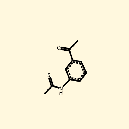 CC(=O)c1cccc(NC(C)=S)c1